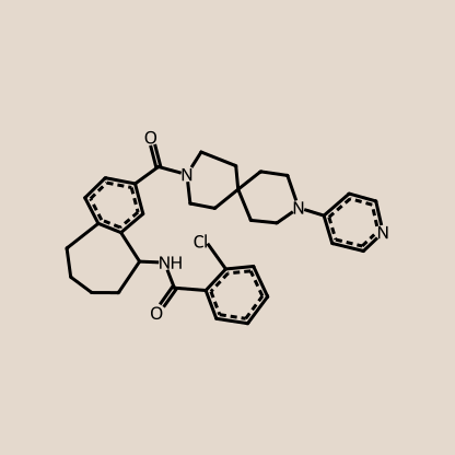 O=C(NC1CCCCc2ccc(C(=O)N3CCC4(CC3)CCN(c3ccncc3)CC4)cc21)c1ccccc1Cl